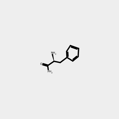 N[C@@H](Cc1ccccc1)C(=O)P